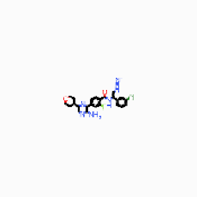 [N-]=[N+]=NCC(NC(=O)c1ccc(-c2nc(C3CCOCC3)cnc2N)cc1F)c1cccc(Cl)c1